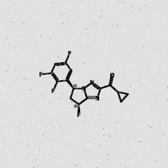 O=C(c1nc2n(n1)[C@H](c1cc(F)cc(F)c1F)C[C@@H]2F)C1CC1